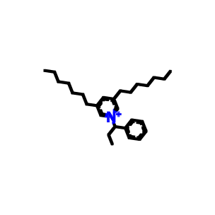 CCCCCCCc1cc(CCCCCCC)c[n+](C(CC)c2ccccc2)c1